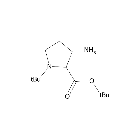 CC(C)(C)OC(=O)C1CCCN1C(C)(C)C.N